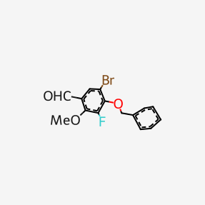 COc1c(C=O)cc(Br)c(OCc2ccccc2)c1F